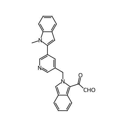 Cn1c(-c2cncc(Cn3cc4ccccc4c3C(=O)C=O)c2)cc2ccccc21